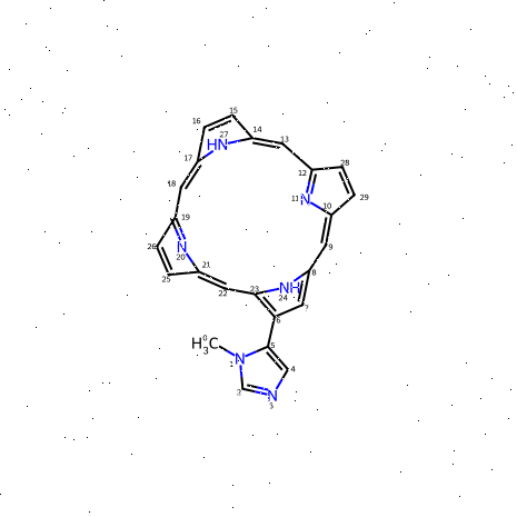 Cn1cncc1-c1cc2cc3nc(cc4ccc(cc5nc(cc1[nH]2)C=C5)[nH]4)C=C3